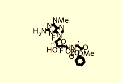 CNc1nc(N)nc2c1ncn2[C@@H]1O[C@](F)(CO[P@@](=O)(N[C@H](C)C(=O)OC)Oc2ccccc2)[C@@H](O)[C@@]1(C)F